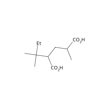 CCC(C)(C)C(CC(C)C(=O)O)C(=O)O